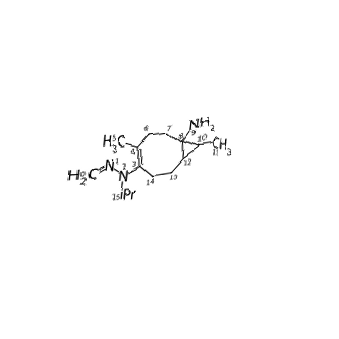 C=NN(/C1=C(\C)CCC2(N)C(C)C2CC1)C(C)C